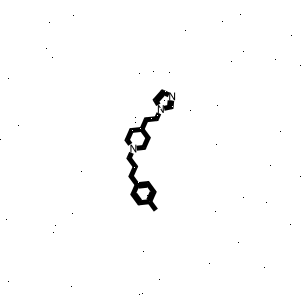 Cc1ccc(CCCN2CCC(CCn3ccnc3)CC2)cc1